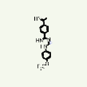 CC(=N)c1ccc(C(=N)/N=C\Nc2ccc(OC(F)(F)F)cc2)cc1